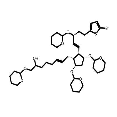 OC(CCCC=CC[C@@H]1[C@@H](C=C[C@H](CCc2ccc(Br)s2)OC2CCCCO2)[C@H](OC2CCCCO2)C[C@@H]1OC1CCCCO1)COC1CCCCO1